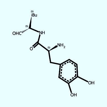 CC[C@H](C)[C@@H](C=O)NC(=O)[C@@H](N)Cc1ccc(O)c(O)c1